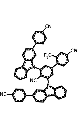 N#Cc1ccc(-c2ccc3c4ccccc4n(-c4cc(-c5ccc(C#N)cc5C(F)(F)F)cc(-n5c6ccccc6c6ccc(-c7ccc(C#N)cc7)cc65)c4C#N)c3c2)cc1